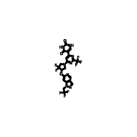 O=c1[nH]cc(-c2cc(N3CC(Oc4cc5c(cn4)cnn5CC(F)(F)F)C(F)(F)C3)nc(C(F)(F)F)n2)c(=O)[nH]1